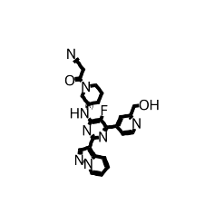 N#CCC(=O)N1CCC[C@@H](Nc2nc(-c3cnn4ccccc34)nc(-c3ccnc(CO)c3)c2F)C1